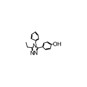 CCc1nnc(-c2ccc(O)cc2)n1-c1ccccc1